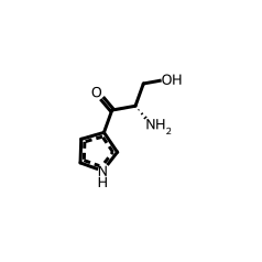 N[C@@H](CO)C(=O)c1cc[nH]c1